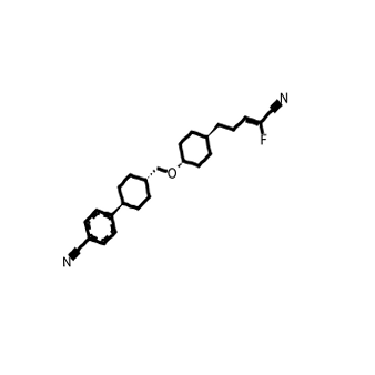 N#C/C(F)=C/CC[C@H]1CC[C@H](OC[C@H]2CC[C@H](c3ccc(C#N)cc3)CC2)CC1